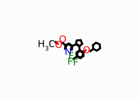 CCOC(=O)c1cncc(C2=C(c3cc(C(F)(F)F)ccc3OCC3CCCCC3)CCC2)c1